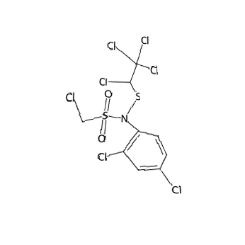 O=S(=O)(CCl)N(SC(Cl)C(Cl)(Cl)Cl)c1ccc(Cl)cc1Cl